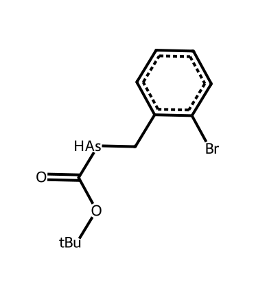 CC(C)(C)OC(=O)[AsH]Cc1ccccc1Br